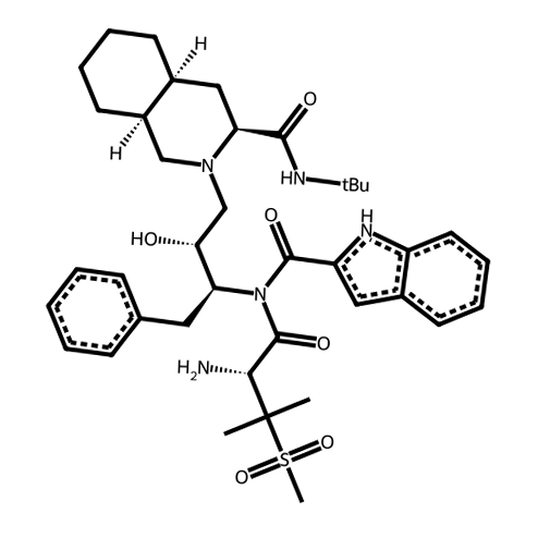 CC(C)(C)NC(=O)[C@@H]1C[C@@H]2CCCC[C@@H]2CN1C[C@@H](O)[C@H](Cc1ccccc1)N(C(=O)c1cc2ccccc2[nH]1)C(=O)[C@@H](N)C(C)(C)S(C)(=O)=O